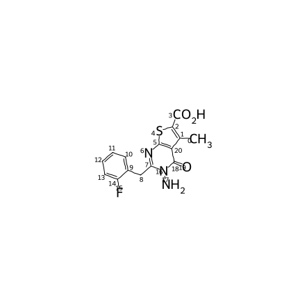 Cc1c(C(=O)O)sc2nc(Cc3ccccc3F)n(N)c(=O)c12